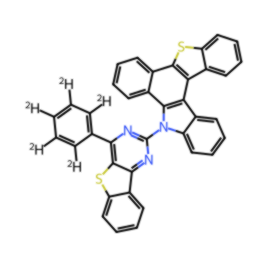 [2H]c1c([2H])c([2H])c(-c2nc(-n3c4ccccc4c4c5c6ccccc6sc5c5ccccc5c43)nc3c2sc2ccccc23)c([2H])c1[2H]